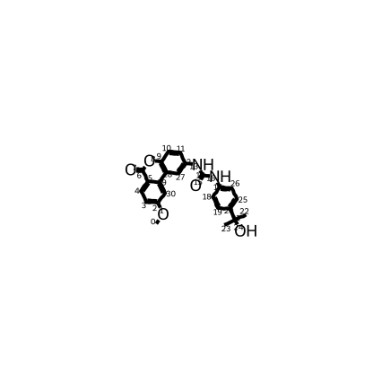 COc1ccc2c(=O)oc3ccc(NC(=O)Nc4ccc(C(C)(C)O)cc4)cc3c2c1